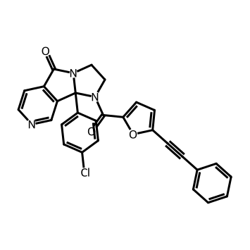 O=C(c1ccc(C#Cc2ccccc2)o1)N1CCN2C(=O)c3ccncc3C12c1ccc(Cl)cc1